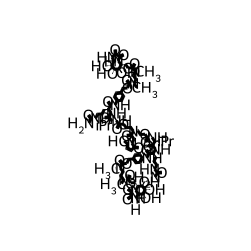 CC(C)[C@H](NC(=O)OCCN(CCOC(=O)N[C@H](C(=O)N[C@@H](CCCNC(N)=O)C(=O)Nc1ccc(COC(=O)N(C)CCN(C)C(=O)OC[C@@H]2[C@@H](O)[C@H](O)[C@H](O)[C@H]3NC(=O)C(=O)N23)cc1)C(C)C)C(=O)CN1C(=O)C=CC1O)C(=O)N[C@@H](CCCNC(N)=O)C(=O)Nc1ccc(COC(=O)N(C)CCN(C)C(=O)OC[C@@H]2[C@@H](O)[C@H](O)[C@H](O)[C@H]3NC(=O)C(=O)N23)cc1